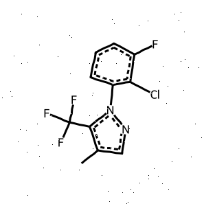 Cc1cnn(-c2cccc(F)c2Cl)c1C(F)(F)F